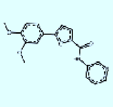 COc1ccc(-c2ccc(C(=O)Nc3cccnc3)o2)cc1OC